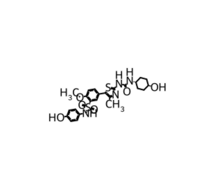 COc1ccc(-c2sc(NC(=O)N[C@H]3CC[C@H](O)CC3)nc2C)cc1S(=O)(=O)Nc1ccc(O)cc1